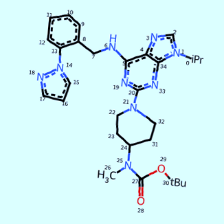 CC(C)n1cnc2c(NCc3ccccc3-n3cccn3)nc(N3CCC(N(C)C(=O)OC(C)(C)C)CC3)nc21